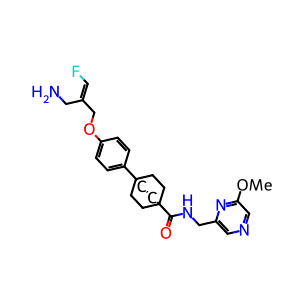 COc1cncc(CNC(=O)C23CCC(c4ccc(OCC(=CF)CN)cc4)(CC2)CC3)n1